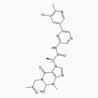 CC(=O)CN1C(=O)c2c(ncn2[C@@H](C)C(=O)Nc2cncc(-c3cnc(C)c(Cl)c3)n2)N(C)C1O